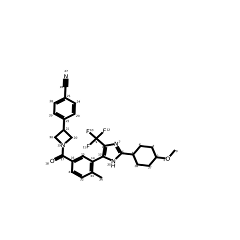 COC1CCC(c2nc(C(F)(F)F)c(-c3cc(C(=O)N4CC(c5ccc(C#N)cc5)C4)ccc3C)[nH]2)CC1